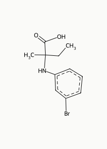 CCC(C)(Nc1cccc(Br)c1)C(=O)O